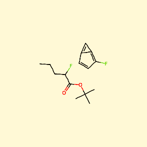 CCCC(F)C(=O)OC(C)(C)C.Fc1ccc2cc1-2